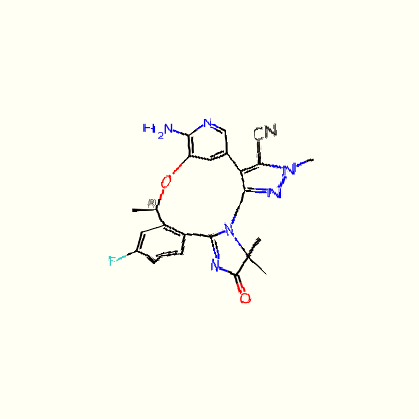 C[C@H]1Oc2cc(cnc2N)-c2c(nn(C)c2C#N)CN2C(=NC(=O)C2(C)C)c2ccc(F)cc21